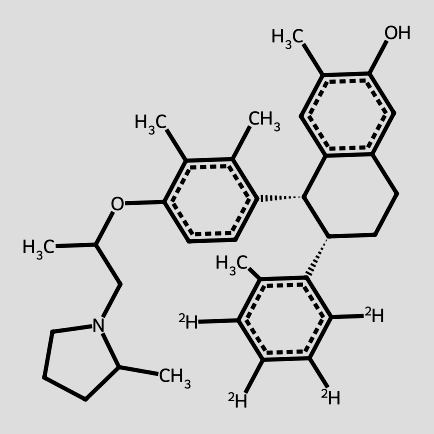 [2H]c1c([2H])c([2H])c([C@H]2CCc3cc(O)c(C)cc3[C@H]2c2ccc(OC(C)CN3CCCC3C)c(C)c2C)c(C)c1[2H]